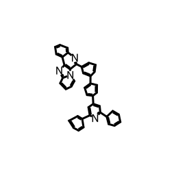 c1ccc(-c2cc(-c3ccc(-c4cccc(-c5nc6ccccc6c6nc7ccccn7c56)c4)cc3)cc(-c3ccccc3)n2)cc1